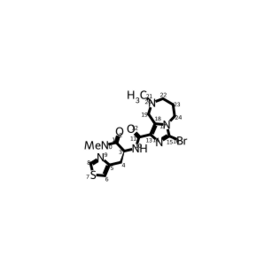 CNC(=O)[C@H](Cc1cscn1)NC(=O)c1nc(Br)n2c1CN(C)CCC2